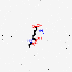 CCC(=O)N[C@@H](CCC[C@@H](N)C(=O)O)C(=O)O